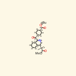 COC(=O)C(C)(C)c1cnc(C(=O)c2ccc(C(=O)OC(C)(C)C)cc2)c2ccccc12